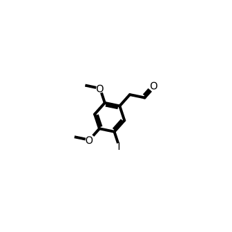 COc1cc(OC)c(CC=O)cc1I